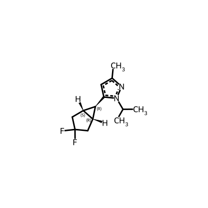 Cc1cc([C@H]2[C@@H]3CC(F)(F)C[C@@H]32)n(C(C)C)n1